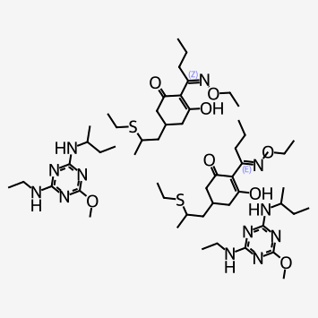 CCC/C(=N/OCC)C1=C(O)CC(CC(C)SCC)CC1=O.CCC/C(=N\OCC)C1=C(O)CC(CC(C)SCC)CC1=O.CCNc1nc(NC(C)CC)nc(OC)n1.CCNc1nc(NC(C)CC)nc(OC)n1